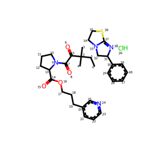 CCC(C)(C)C(=O)C(=O)N1CCCC1C(=O)OCCCc1cccnc1.Cl.c1ccc(C2CN3CCSC3=N2)cc1